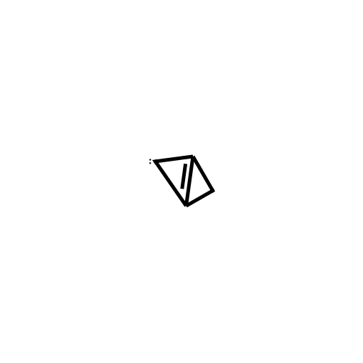 [C]1C2=C1C2